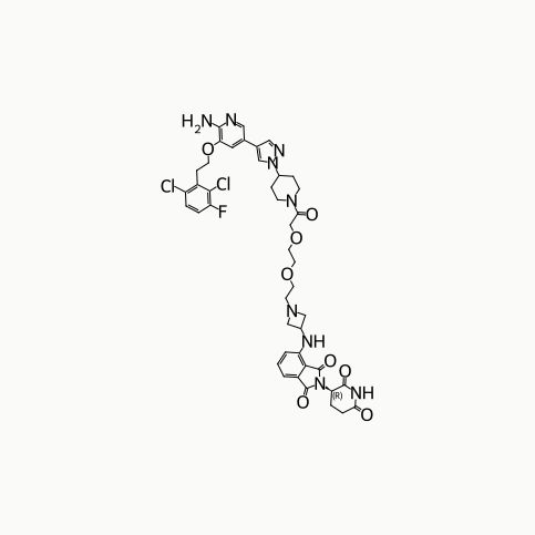 Nc1ncc(-c2cnn(C3CCN(C(=O)COCCOCCN4CC(Nc5cccc6c5C(=O)N([C@@H]5CCC(=O)NC5=O)C6=O)C4)CC3)c2)cc1OCCc1c(Cl)ccc(F)c1Cl